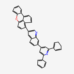 C1=CC(c2cc(-c3ccc4cc(-c5ccc6c7c(cccc57)-c5ccccc5O6)cnc4c3)cc(-c3ccccc3)n2)=CCC1